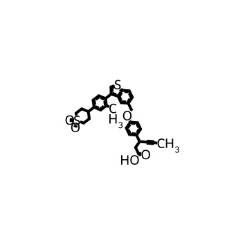 CC#CC(CC(=O)O)c1ccc(OCc2ccc3scc(-c4ccc(C5CCS(=O)(=O)CC5)cc4C)c3c2)cc1